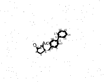 CC(=O)N1C(=O)CC[C@H]1Cc1ccc(-c2ccccc2)cc1